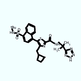 CC(C)(C)NS(=O)(=O)c1ccc(-c2sc(C(=O)NCC(C)(C)c3nn[nH]n3)nc2CC2CCC2)c2ccccc12